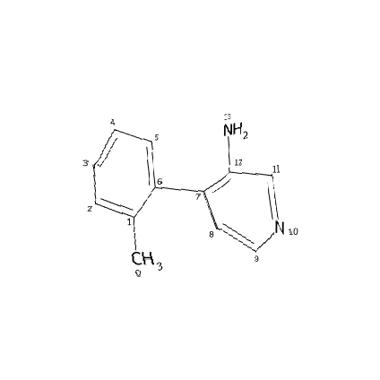 Cc1c[c]ccc1-c1ccncc1N